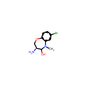 CN1c2cc(Br)ccc2OC[C@H](N)C1O